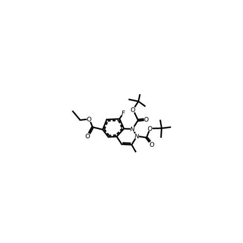 CCOC(=O)c1cc(F)c2c(c1)C=C(C)N(C(=O)OC(C)(C)C)N2C(=O)OC(C)(C)C